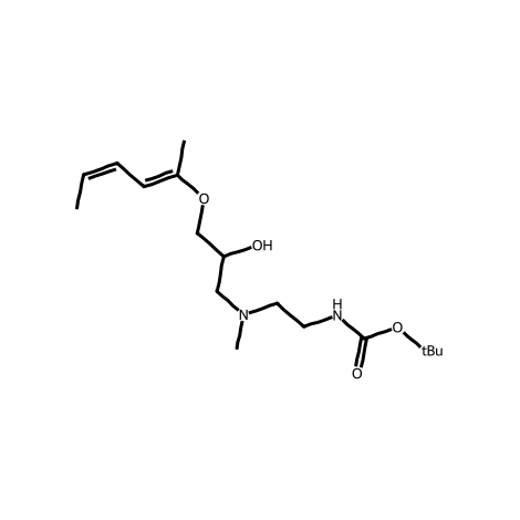 C/C=C\C=C(/C)OCC(O)CN(C)CCNC(=O)OC(C)(C)C